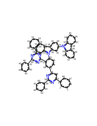 c1ccc(-c2cc(-c3ccc(-n4c5ccccc5c5ccc(-n6c7ccccc7c7ccccc76)cc54)c(-c4nc(-c5ccccc5)nc(-c5ccccc5)n4)c3)nc(-c3ccccc3)n2)cc1